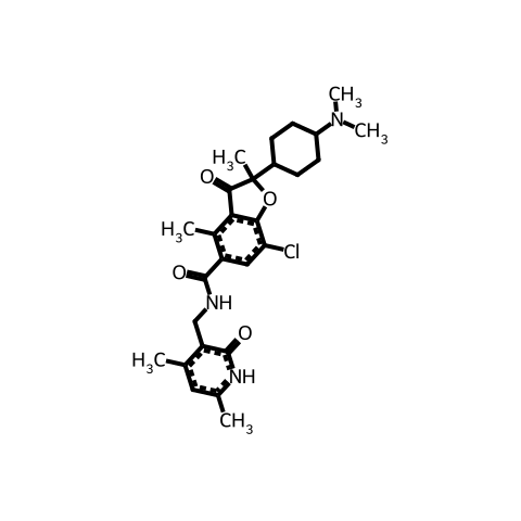 Cc1cc(C)c(CNC(=O)c2cc(Cl)c3c(c2C)C(=O)C(C)(C2CCC(N(C)C)CC2)O3)c(=O)[nH]1